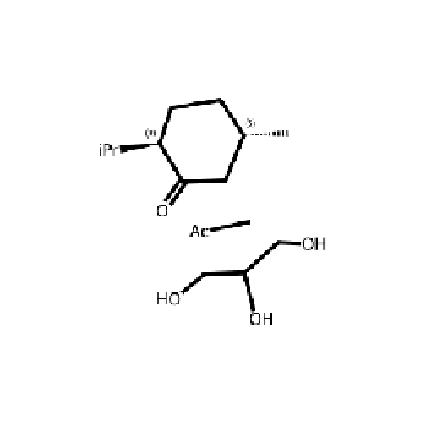 CC(C)=O.CC(C)[C@H]1CC[C@H](C)CC1=O.OCC(O)CO